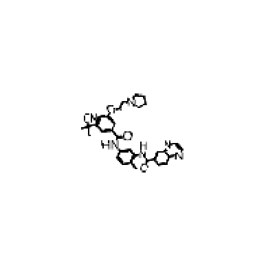 Cc1ccc(NC(=O)c2cc(OCCN3CCCC3)cc(C(C)(C)C#N)c2)cc1NC(=O)c1ccc2nccnc2c1